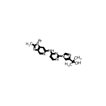 Cc1nc2cnc(Nc3ccnc(-n4cnc(C(C)(C)O)c4)n3)cc2n1C(C)C